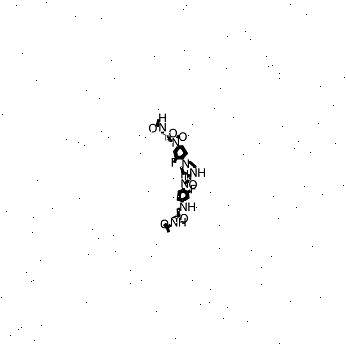 CO[C@@H](CNC(C)=O)CNc1ccc(NC(=O)N2CCN(c3ccc(N4C[C@H](CNC(C)=O)OC4=O)cc3F)CCN2)c(F)c1